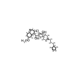 COc1ccc2ncc(Cl)c([C@@H](O)CCC3(C(=O)O)CCN(CCCc4ccsc4)CC3)c2c1